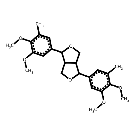 COc1cc(C2OCC3C(c4cc(C)c(OC)c(OC)c4)OCC23)cc(C)c1OC